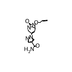 C=CCON1C(=O)N2CC(n3cc(C(N)=O)cn3)=CC1C2